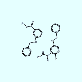 CC(C)(C)OC(=O)c1cccc(NCc2ccccc2)c1.CC(C)NC(=O)c1cc(NCc2ccccc2)ccc1F